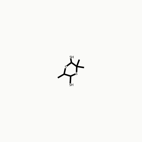 CC1SC(S)C(C)(C)SC1S